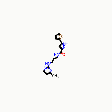 Cc1ccnc(NCCCNC(=O)c2cc(-c3cccs3)[nH]n2)n1